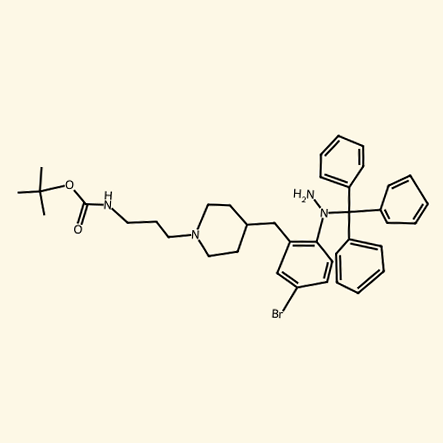 CC(C)(C)OC(=O)NCCCN1CCC(Cc2cc(Br)ccc2N(N)C(c2ccccc2)(c2ccccc2)c2ccccc2)CC1